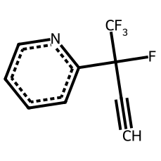 C#CC(F)(c1ccccn1)C(F)(F)F